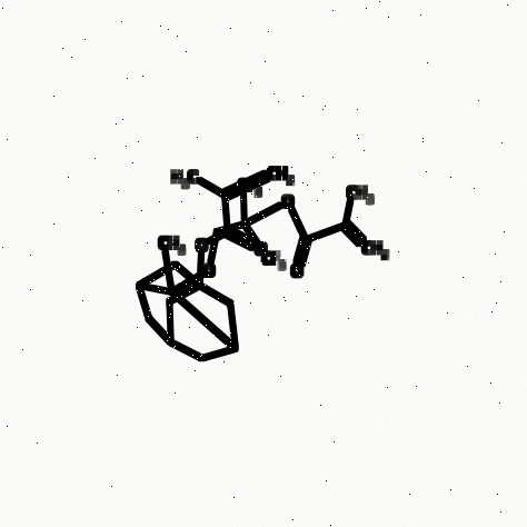 C=C(C)C(=O)OC12CC3CC(C1)C(C)(OCC(OC(=O)C(=C)C)(C(F)(F)F)C(F)(F)F)C(C3)C2